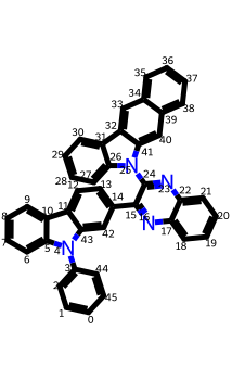 c1ccc(-n2c3ccccc3c3ccc(-c4nc5ccccc5nc4-n4c5ccccc5c5cc6ccccc6cc54)cc32)cc1